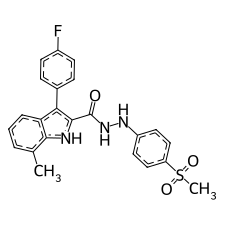 Cc1cccc2c(-c3ccc(F)cc3)c(C(=O)NNc3ccc(S(C)(=O)=O)cc3)[nH]c12